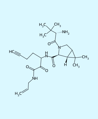 C#CCCC(NC(=O)[C@@H]1[C@@H]2C(CN1C(=O)[C@@H](N)C(C)(C)C)C2(C)C)C(=O)C(=O)NCC=C